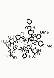 COc1ccc(C(OC[C@@H]2O[C@@H](n3ccc(NC(=O)c4ccccc4)nc3=O)C[C@@H]2C(OP(=O)(O)Oc2ccccc2Cl)[C@@H]2O[C@@H](n3cc(C)c(=O)[nH]c3=O)C[C@@H]2OP(=O)(OC[C@H]2O[C@@H](n3cc(C)c(=O)[nH]c3=O)C[C@@H]2OP(OCCC#N)N(C(C)C)C(C)C)Oc2ccccc2Cl)(c2ccccc2)c2ccc(OC)cc2)cc1